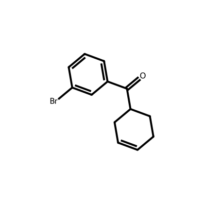 O=C(c1cccc(Br)c1)C1CC=CCC1